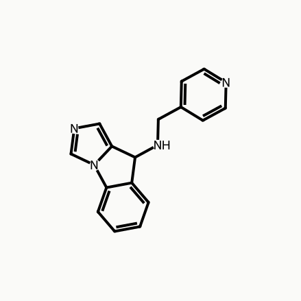 c1ccc2c(c1)C(NCc1ccncc1)c1cncn1-2